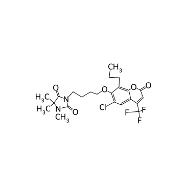 CCCc1c(OCCCCN2C(=O)N(C)C(C)(C)C2=O)c(Cl)cc2c(C(F)(F)F)cc(=O)oc12